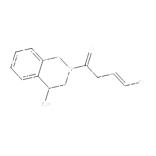 CCC=CCC(=O)N1Cc2ccccc2C(N)C1